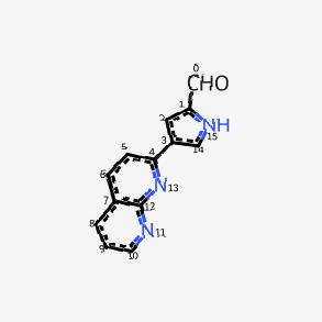 O=Cc1cc(-c2ccc3cccnc3n2)c[nH]1